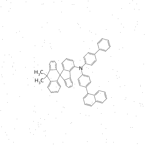 CC1(C)c2ccccc2C2(c3ccccc3-c3c(N(c4ccc(-c5ccccc5)cc4)c4ccc(-c5cccc6ccccc56)cc4)cccc32)c2ccccc21